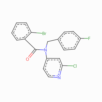 O=C(c1ccccc1Br)N(Cc1ccc(F)cc1)c1ccnc(Cl)c1